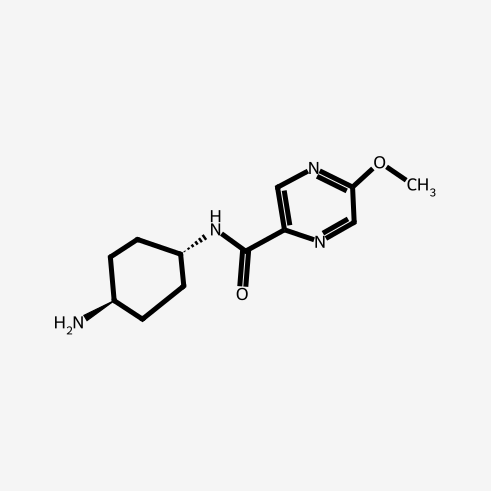 COc1cnc(C(=O)N[C@H]2CC[C@H](N)CC2)cn1